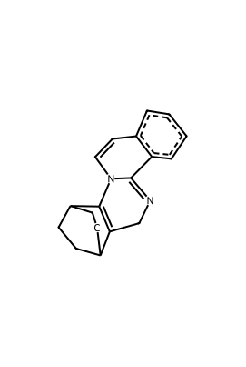 C1=CN2C(=NCC3=C2C2CCC3CC2)c2ccccc21